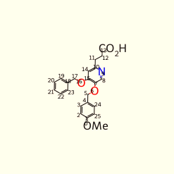 COc1ccc(COc2cnc(CCC(=O)O)cc2OCc2ccccc2)cc1